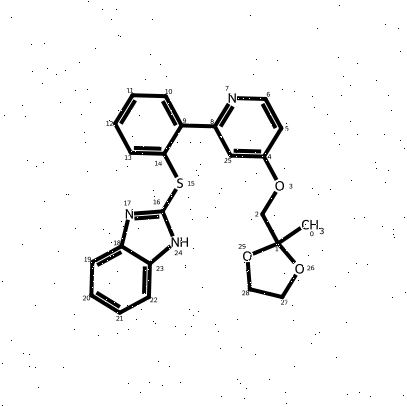 CC1(COc2ccnc(-c3ccccc3Sc3nc4ccccc4[nH]3)c2)OCCO1